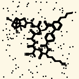 CCCCc1ccc(-c2ccc(C(=O)N[C@@H](CCCCN)C(=O)N[C@H](C(=O)N[C@@H](C)C(=O)N[C@@H](CC(N)=O)C(=O)N[C@@H](C)B3OC4C[C@@H]5C[C@@H](C5(C)C)[C@]4(C)O3)C(C)O)cc2)cc1